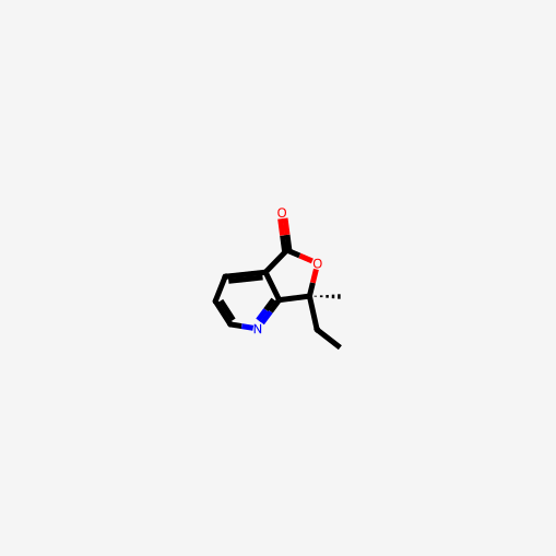 CC[C@]1(C)OC(=O)c2cccnc21